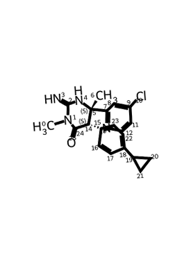 CN1C(=N)N[C@](C)(c2cc(Cl)ccn2)[C@H](c2ccc(C3CC3)cc2)C1=O